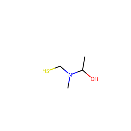 CC(O)N(C)CS